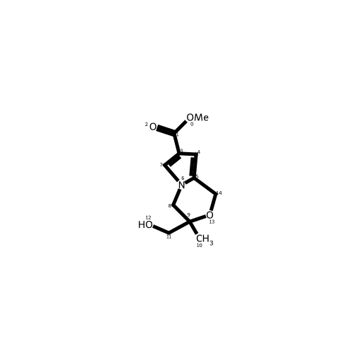 COC(=O)c1cc2n(c1)CC(C)(CO)OC2